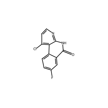 O=c1[nH]c2nccc(Cl)c2c2ccc(F)cc12